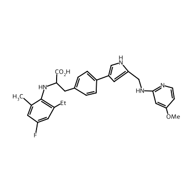 CCc1cc(F)cc(C)c1NC(Cc1ccc(-c2c[nH]c(CNc3cc(OC)ccn3)c2)cc1)C(=O)O